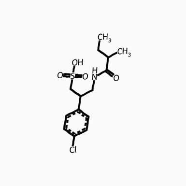 CCC(C)C(=O)NCC(CS(=O)(=O)O)c1ccc(Cl)cc1